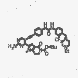 CCN1CCN(Cc2ccc(NC(=O)Nc3ccc(C#Cc4cnc(N)nc4-c4cc5c(n4C)CCN(C(=O)OC(C)(C)C)C5=O)cc3)cc2C(F)(F)F)CC1